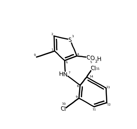 Cc1csc(C(=O)O)c1Nc1c(Cl)cccc1Cl